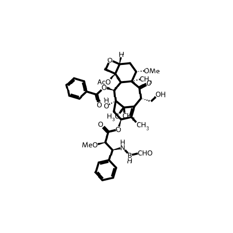 CO[C@H]1C[C@H]2OC[C@@]2(OC(C)=O)C2[C@H](OC(=O)c3ccccc3)[C@]3(O)C[C@H](OC(=O)[C@H](OC)[C@@H](NBC=O)c4ccccc4)C(C)=C([C@@H](CO)C(=O)[C@@]21C)C3(C)C